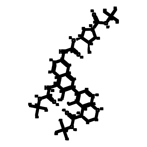 Cc1c(-c2cc3cc(NC(=O)O[C@@H]4CN(C(=O)OC(C)(C)C)C[C@@H]4C)ncc3c(NC(=O)OC(C)(C)C)c2F)cnc2c1N(C(=O)OC(C)(C)C)CCO2